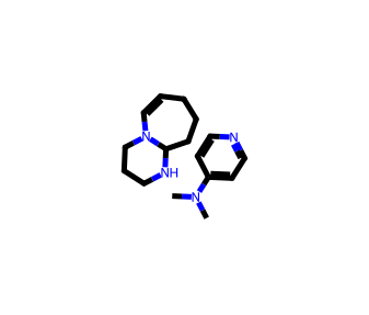 C1=CN2CCCNC2CCC1.CN(C)c1ccncc1